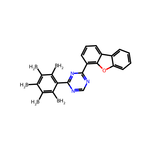 Bc1c(B)c(B)c(-c2ncnc(-c3cccc4c3oc3ccccc34)n2)c(B)c1B